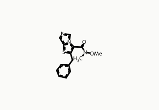 CON(C)C(=O)c1c(Cc2ccccc2)sc2cncn12